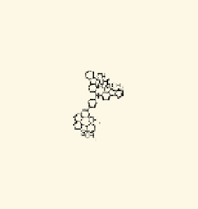 CC1CC=CC2(C)Sc3ccc4ccc5cc(-c6ccc(N(c7ccc8c(c7)C(C)(C)c7ccccc7-8)c7ccc8c(c7)C(C)(C)c7ccccc7-8)cc6)ccc5c4c3C12